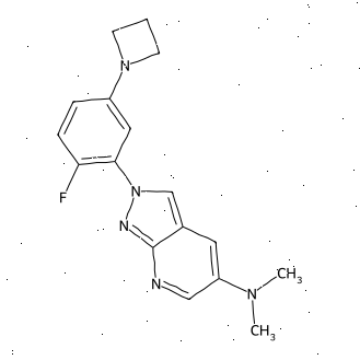 CN(C)c1cnc2nn(-c3cc(N4CCC4)ccc3F)cc2c1